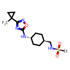 CCS(=O)(=O)NC[C@H]1CC[C@H](Nc2nc(C3(C(F)(F)F)CC3)no2)CC1